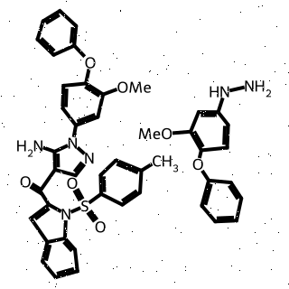 COc1cc(-n2ncc(C(=O)c3cc4ccccc4n3S(=O)(=O)c3ccc(C)cc3)c2N)ccc1Oc1ccccc1.COc1cc(NN)ccc1Oc1ccccc1